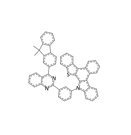 CC1(C)c2ccccc2-c2ccc(-c3nc(-c4cccc(-n5c6ccccc6c6c7ccccc7c7c8ccccc8sc7c65)c4)nc4ccccc34)cc21